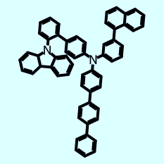 C1=CC2c3ccccc3N(c3ccccc3-c3ccc(N(c4ccc(-c5ccc(-c6ccccc6)cc5)cc4)c4cccc(-c5cccc6ccccc56)c4)cc3)C2C=C1